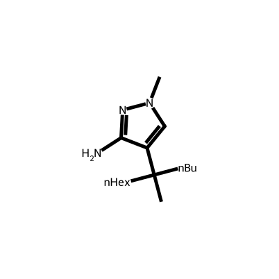 CCCCCCC(C)(CCCC)c1cn(C)nc1N